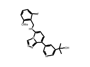 COc1cccc(F)c1CNc1ccc(-c2cncc(C(C)(C)O)c2)c2nncn12